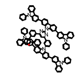 c1ccc(-c2ccccc2-c2cccc(-c3cc(-c4cccc(-n5c6cc(-c7ccc8c(c7)c7ccccc7n8-c7ccccc7)ccc6c6ccc(-c7ccc8c(c7)c7ccccc7n8-c7ccccc7)cc65)c4)nc(-n4c5cc(-c6ccc7c(c6)c6ccccc6n7-c6ccccc6)ccc5c5ccc(-c6ccc7c(c6)c6ccccc6n7-c6ccccc6)cc54)n3)c2)cc1